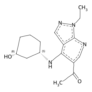 CCn1ncc2c(N[C@H]3CCC[C@@H](O)C3)c(C(C)=O)cnc21